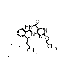 CCCOc1ccccc1-c1nc2nc(OCC)ncc2c(=O)[nH]1